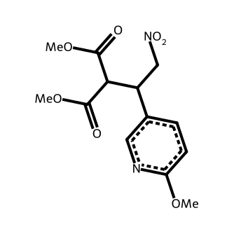 COC(=O)C(C(=O)OC)C(C[N+](=O)[O-])c1ccc(OC)nc1